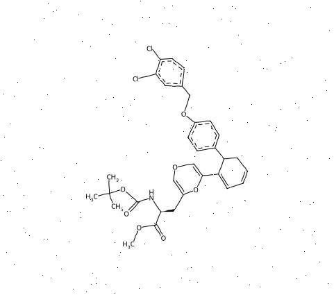 COC(=O)[C@H](CC1=COC=C(C2=CC=CCC2c2ccc(OCc3ccc(Cl)c(Cl)c3)cc2)O1)NC(=O)OC(C)(C)C